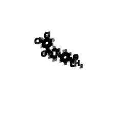 C[N+](=O)c1ccc(N2CCN(C(=O)c3ccc(Cl)c(Cl)c3)CC2)cc1